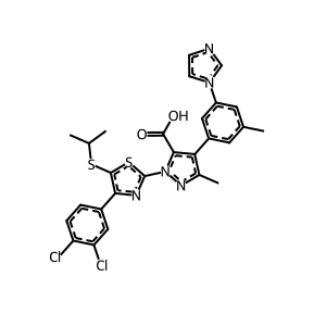 Cc1cc(-c2c(C)nn(-c3nc(-c4ccc(Cl)c(Cl)c4)c(SC(C)C)s3)c2C(=O)O)cc(-n2ccnc2)c1